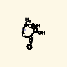 CC1C/C=C/CCCCC(=NOCc2ccccc2)Cc2cc(O)cc(O)c2C(=O)O1